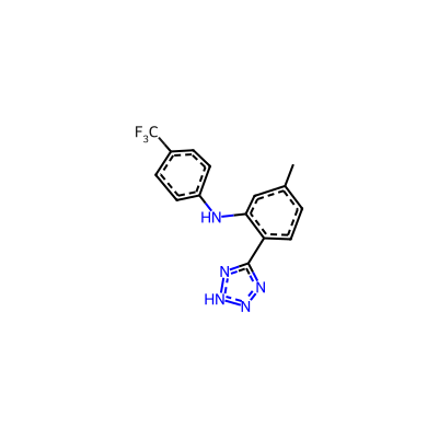 Cc1ccc(-c2nn[nH]n2)c(Nc2ccc(C(F)(F)F)cc2)c1